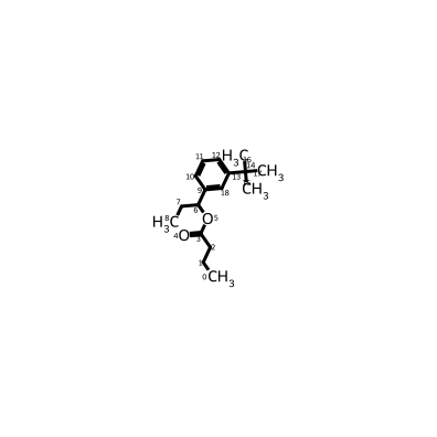 CCCC(=O)OC(CC)c1cccc(C(C)(C)C)c1